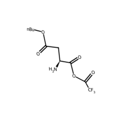 CCCCOC(=O)C[C@H](N)C(=O)OC(=O)C(F)(F)F